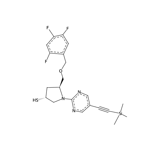 C[Si](C)(C)C#Cc1cnc(N2C[C@H](S)C[C@H]2COCc2cc(F)c(F)cc2F)nc1